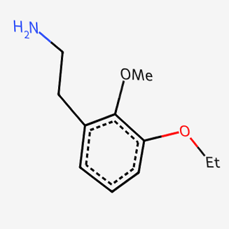 CCOc1cccc(CCN)c1OC